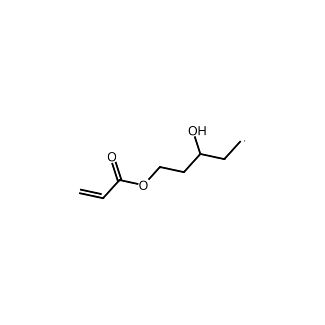 [CH2]CC(O)CCOC(=O)C=C